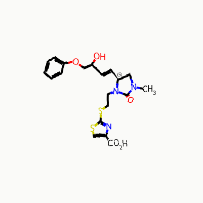 CN1C[C@H](C=CC(O)COc2ccccc2)N(CCSc2nc(C(=O)O)cs2)C1=O